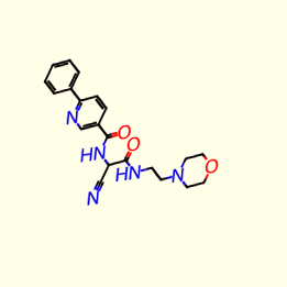 N#CC(NC(=O)c1ccc(-c2ccccc2)nc1)C(=O)NCCN1CCOCC1